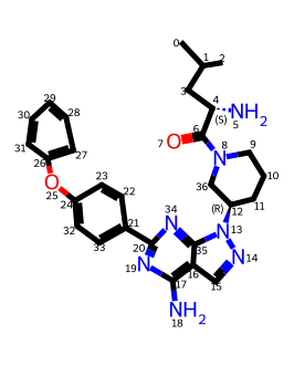 CC(C)C[C@H](N)C(=O)N1CCC[C@@H](n2ncc3c(N)nc(-c4ccc(Oc5ccccc5)cc4)nc32)C1